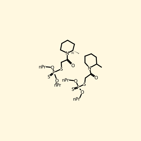 CCCOP(=S)(OCCC)SCC(=O)N1CCCCC1C.CCCOP(=S)(OCCC)SCC(=O)N1CCCC[C@@H]1C